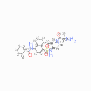 Cc1ccccc1C(=O)Nc1ccc(S(=O)(=O)N[C@@H]2CCN(C(=O)C(C)(C)N)C[C@@H]2C)c2ccccc12